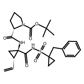 C=C[C@@H]1C[C@]1(NC(=O)[C@@H]1CCCN1C(=O)OC(C)(C)C)C(=O)NS(=O)(=O)C1(Cc2ccccc2)CC1